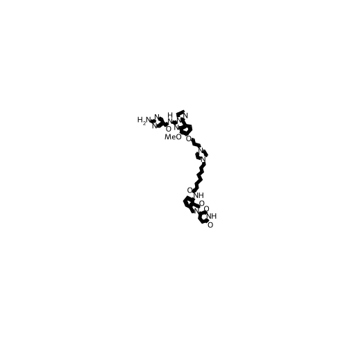 COc1c(OCCCN2CCN(CCCCCCCC(=O)Nc3cccc4c3C(=O)N(C3CCC(=O)NC3=O)C4)CC2)ccc2c1N=C(NC(=O)c1cnc(N)nc1)N1CCN=C21